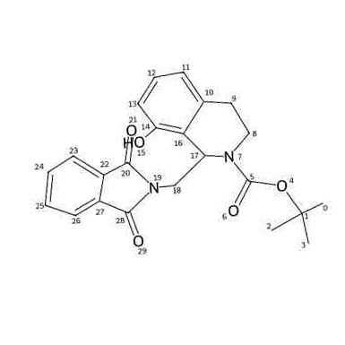 CC(C)(C)OC(=O)N1CCc2cccc(O)c2C1CN1C(=O)c2ccccc2C1=O